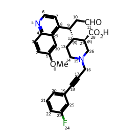 COc1ccc2nccc(C(CC=O)[C@H]3CCN(CC#Cc4cccc(F)c4)C[C@@H]3C(=O)O)c2c1